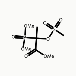 COC(=O)C(C)(OS(C)(=O)=O)P(=O)(OC)OC